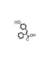 O=C(O)/C(=C/c1ccc(O)cc1)c1ccccc1